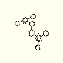 C1=CCCC(c2ccc(C3=CCCCC3)nc2C2=CC(C3C=CCC(c4nc(C5=CCCC=C5)nc(C5C=CC=CC5)n4)C3)CC=C2)=C1